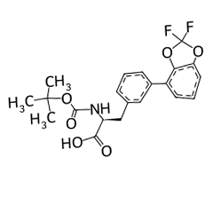 CC(C)(C)OC(=O)N[C@@H](Cc1cccc(-c2cccc3c2OC(F)(F)O3)c1)C(=O)O